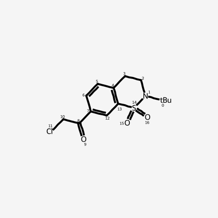 CC(C)(C)N1CCc2ccc(C(=O)CCl)cc2S1(=O)=O